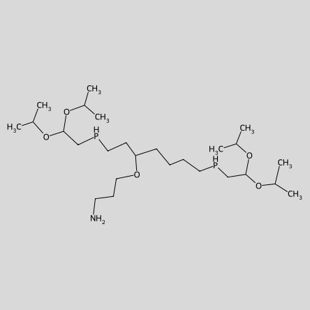 CC(C)OC(CPCCCCC(CCPCC(OC(C)C)OC(C)C)OCCCN)OC(C)C